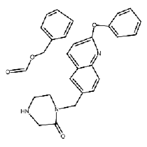 O=C1CNCCN1Cc1ccc2nc(Oc3ccccc3)ccc2c1.O=COCc1ccccc1